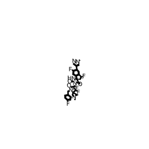 CN1CC(N(Cc2ccc(F)cc2)C(=O)CN2C(=O)N[C@@]3(C[C@H](F)c4cc(-c5cnn(C)c5)c(F)cc43)C2=O)(C(F)(F)F)C1